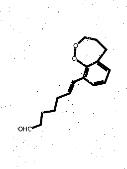 O=[C]CCCC/C=C/c1cccc2c1OOCCC2